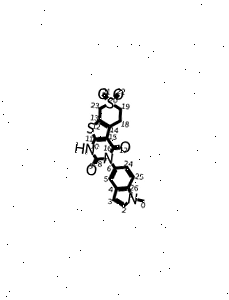 Cn1ccc2cc(-n3c(=O)[nH]c4sc5c(c4c3=O)CCS(=O)(=O)C5)ccc21